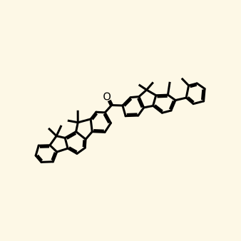 Cc1ccccc1-c1ccc2c(c1C)C(C)(C)c1cc(C(=O)c3ccc4c(c3)C(C)(C)c3c-4ccc4c3C(C)(C)c3ccccc3-4)ccc1-2